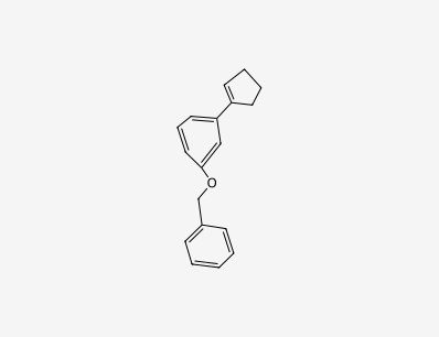 C1=C(c2cccc(OCc3ccccc3)c2)CCC1